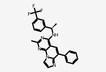 Cc1nc(N[C@H](C)c2cccc(C(F)(F)F)c2)c2cc(-c3ccccc3)c3nccn3c2n1